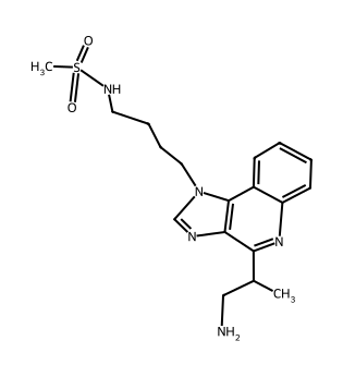 CC(CN)c1nc2ccccc2c2c1ncn2CCCCNS(C)(=O)=O